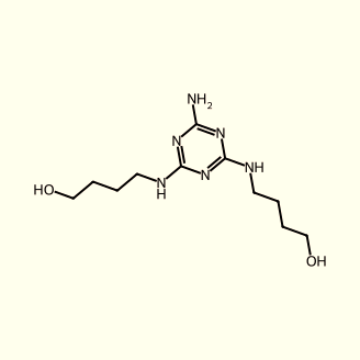 Nc1nc(NCCCCO)nc(NCCCCO)n1